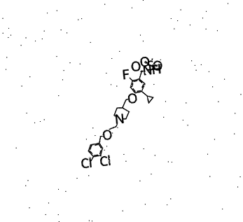 CS(=O)(=O)NC(=O)c1cc(C2CC2)c(OCC2CCN(CCOCc3ccc(Cl)c(Cl)c3)CC2)cc1F